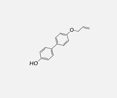 C=CCOc1ccc(-c2ccc(O)cc2)cc1